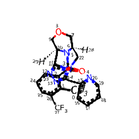 Cc1c(C(=O)N2[C@H]3COC[C@@H]2c2nnc(-c4ccccn4)n2C3)cccc1C(F)(F)F